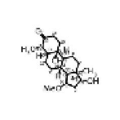 CO[C@@H]1C[C@H](O)[C@@]2(C)CC[C@H]3[C@@H](CC[C@H]4N(C)C(=O)CC[C@]34C)[C@H]12